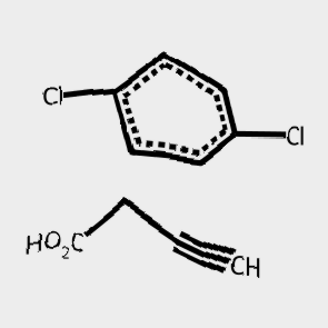 C#CCC(=O)O.Clc1ccc(Cl)cc1